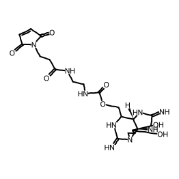 N=C1N[C@H]2C(COC(=O)NCCNC(=O)CCN3C(=O)C=CC3=O)NC(=N)N3CCC(O)(O)[C@]23N1